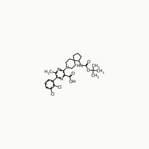 Cc1nc(N2CCC3(CCCC3NC(=O)OC(C)(C)C)CC2)c(C(=O)O)nc1-c1cccc(Cl)c1Cl